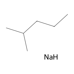 CCCC(C)C.[NaH]